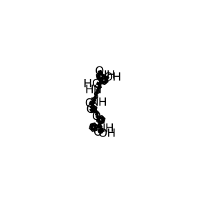 O=C(O)NC(c1ccccc1)c1cccc(OCc2coc(C(=O)NCCCCNCC(O)c3ccc(O)c4[nH]c(=O)ccc34)c2)c1